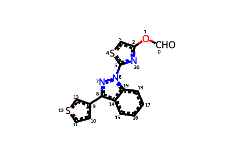 O=COc1csc(-n2nc(-c3ccsc3)c3ccccc32)n1